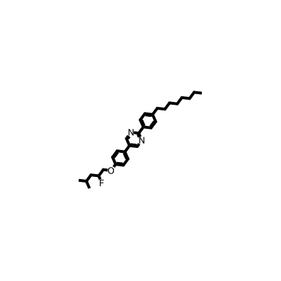 CCCCCCCCc1ccc(-c2ncc(-c3ccc(OCC(F)CC(C)C)cc3)cn2)cc1